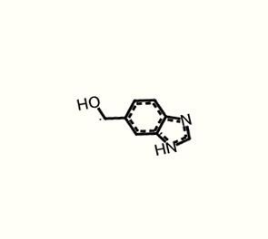 O[CH]c1ccc2nc[nH]c2c1